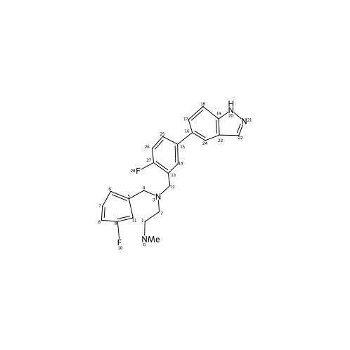 CNCCN(Cc1cccc(F)c1)Cc1cc(-c2ccc3[nH]ncc3c2)ccc1F